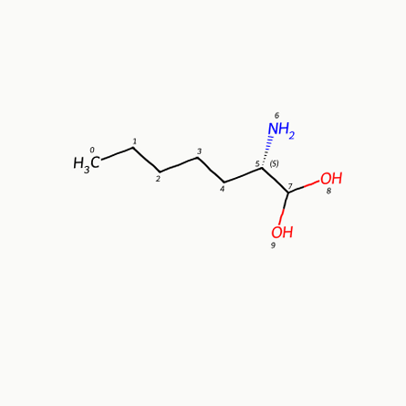 CCCCC[C@H](N)C(O)O